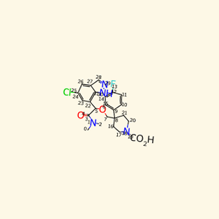 CN(C)C(=O)C(OCC1(c2ccc(F)cc2)CCN(C(=O)O)CC1)c1cc(Cl)cc2cn[nH]c12